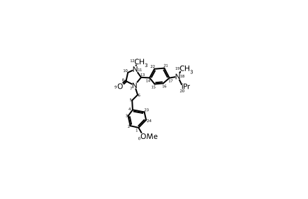 COc1ccc(CCN2C(=O)CN(C)C2c2ccc(N(C)C(C)C)cc2)cc1